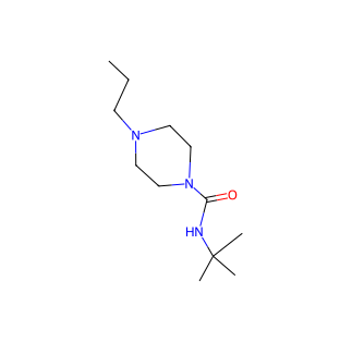 CCCN1CCN(C(=O)NC(C)(C)C)CC1